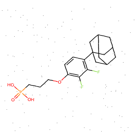 O=P(O)(O)CCCOc1ccc(C23CC4CC(CC(C4)C2)C3)c(F)c1F